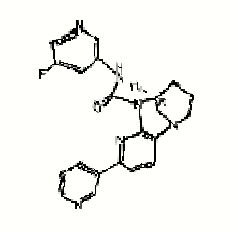 O=C(Nc1cncc(F)c1)N1c2nc(-c3cccnc3)ccc2N2CCC[C@H]1C2